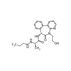 C[C@@H](NNCCC(F)(F)F)C(=O)N[C@@H]1C(=O)N(CCO)c2ncccc2-c2ccccc21